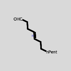 CCCCCCC/C=C/CCC=O